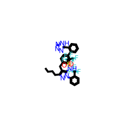 CCCCc1nn(-c2ccccc2C(F)(F)F)c(NS(=O)(=O)C(F)(F)C(F)(F)F)c1Cc1ccc(-c2ccccc2-c2nnn[nH]2)cc1